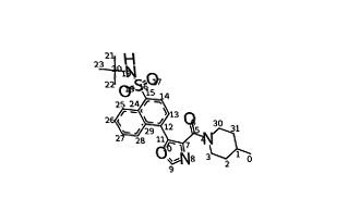 CC1CCN(C(=O)c2ncoc2-c2ccc(S(=O)(=O)NC(C)(C)C)c3ccccc23)CC1